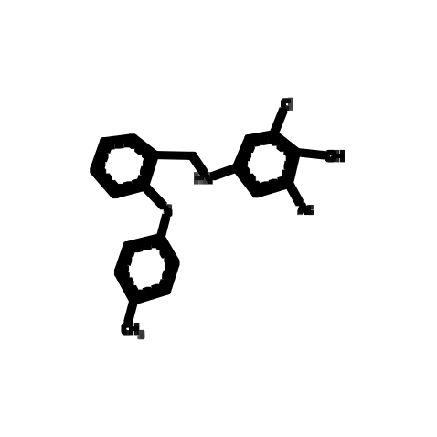 CC(=O)c1cc(NCc2ccccc2Sc2ccc(C)cc2)cc(Cl)c1O